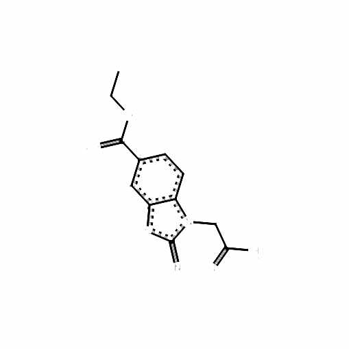 CCOC(=O)c1ccc2c(c1)sc(=N)n2CC(=O)O